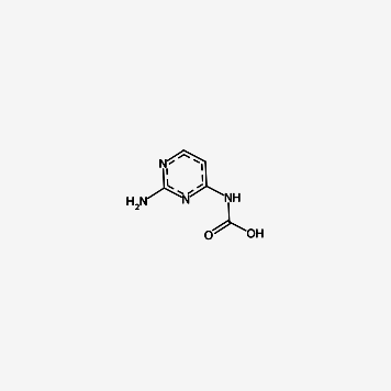 Nc1nccc(NC(=O)O)n1